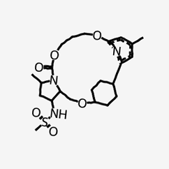 Cc1cc2nc(c1)C1CCC(CC1)OCC1C(NS(C)(=O)=O)CC(C)N1C(=O)OCCCO2